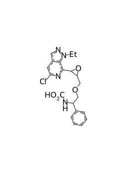 CCn1ncc2cc(Cl)nc(C3OC3COCC(NC(=O)O)c3ccccc3)c21